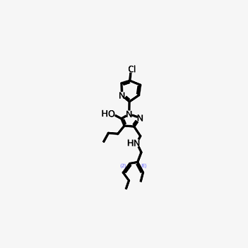 C/C=C(\C=C/CC)CNCc1nn(-c2ccc(Cl)cn2)c(O)c1CCC